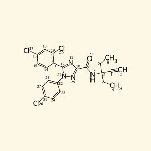 C#CC(CC)(CC)NC(=O)c1nc(-c2ccc(Cl)cc2Cl)n(-c2ccc(Cl)cc2)n1